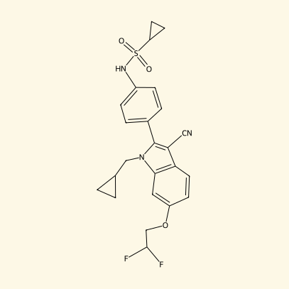 N#Cc1c(-c2ccc(NS(=O)(=O)C3CC3)cc2)n(CC2CC2)c2cc(OCC(F)F)ccc12